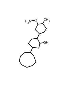 CC1CCC(C2CCC(C3CCCCCCCC3)CC2S)CC1ON